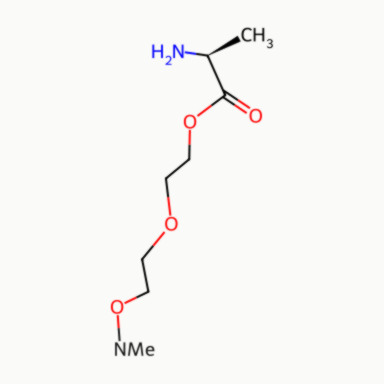 CNOCCOCCOC(=O)[C@H](C)N